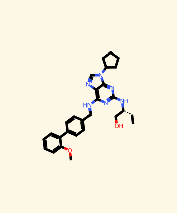 CC[C@H](CO)Nc1nc(NCc2ccc(-c3ccccc3OC)cc2)c2ncn(C3CCCC3)c2n1